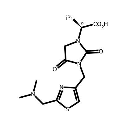 CC(C)[C@@H](C(=O)O)N1CC(=O)N(Cc2csc(CN(C)C)n2)C1=O